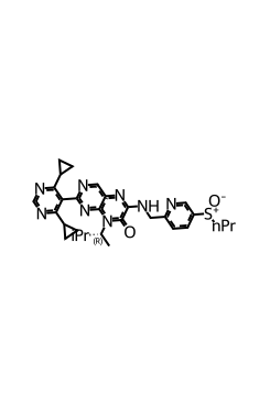 CCC[S+]([O-])c1ccc(CNc2nc3cnc(-c4c(C5CC5)ncnc4C4CC4)nc3n([C@H](C)C(C)C)c2=O)nc1